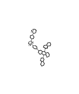 c1ccc(-c2ccc(-c3ccnc(-c4ccc(-c5ccc6c(-c7ccc8ccccc8c7)c7ccccc7c(-c7ccc8ccccc8c7)c6c5)cc4)n3)cc2)nc1